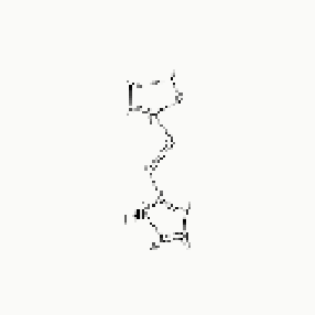 C(=C\c1ccco1)/c1nnc[nH]1